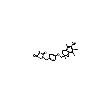 Cc1c(C)c2c(c(C)c1O)CCC(C)(COc1ccc(CN3CC(=O)SC3=O)cc1)O2